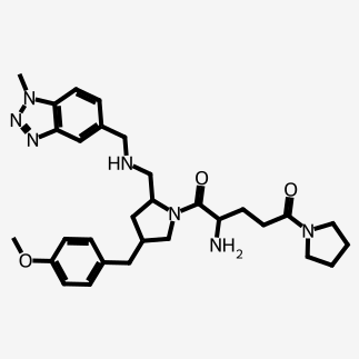 COc1ccc(CC2CC(CNCc3ccc4c(c3)nnn4C)N(C(=O)C(N)CCC(=O)N3CCCC3)C2)cc1